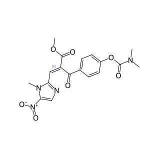 COC(=O)/C(=C/c1ncc([N+](=O)[O-])n1C)C(=O)c1ccc(OC(=O)N(C)C)cc1